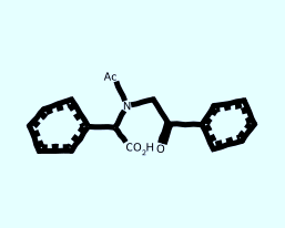 CC(=O)N(CC(=O)c1ccccc1)C(C(=O)O)c1ccccc1